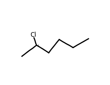 CCCC[C](C)Cl